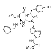 C=CCN1CC(=O)N2[C@@H](Cc3ccc(O)cc3)C(=O)N(Cc3csc4c(NC(=O)OC)cccc34)C[C@@H]2N1C(=O)NCc1ccccc1